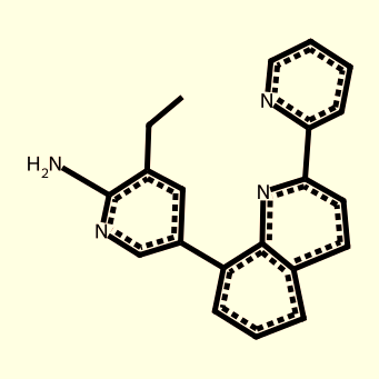 CCc1cc(-c2cccc3ccc(-c4ccccn4)nc23)cnc1N